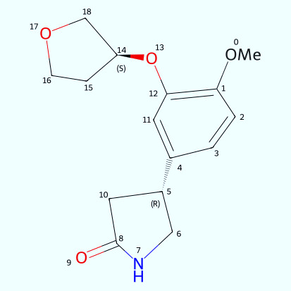 COc1ccc([C@@H]2CNC(=O)C2)cc1O[C@H]1CCOC1